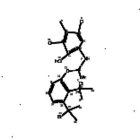 CCCC(Nc1cc(Cl)c(C)c(Cl)c1O)Oc1cccc(C(C)(C)CC)c1C(C)(C)CC